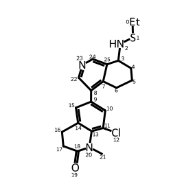 CCSNC1CCCc2c(-c3cc(Cl)c4c(c3)CCC(=O)N4C)cncc21